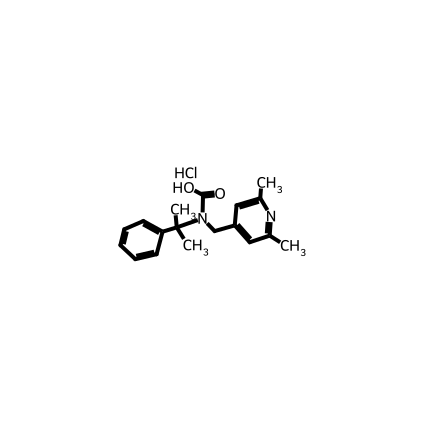 Cc1cc(CN(C(=O)O)C(C)(C)c2ccccc2)cc(C)n1.Cl